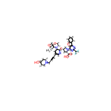 C[C@@H]1N(c2cc(C#CCN3CCC(O)CC3)cnc2O[C@H]2C[C@@H](C(=O)O)N(c3nc(C(F)F)nc4c3oc3ccccc34)C2)CCOC12COC2